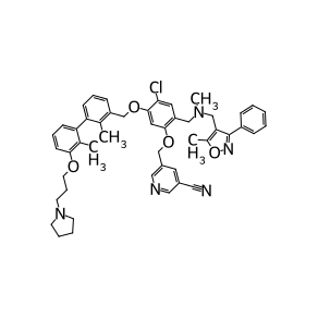 Cc1onc(-c2ccccc2)c1CN(C)Cc1cc(Cl)c(OCc2cccc(-c3cccc(OCCCN4CCCC4)c3C)c2C)cc1OCc1cncc(C#N)c1